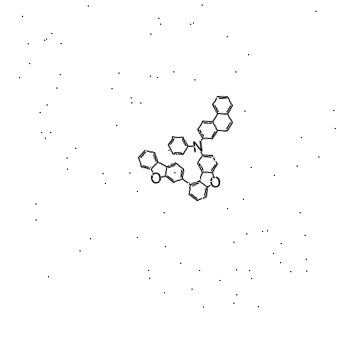 c1ccc(N(c2ccc3c(ccc4ccccc43)c2)c2ccc3oc4cccc(-c5ccc6c(c5)oc5ccccc56)c4c3c2)cc1